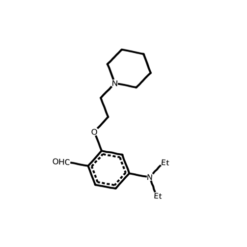 CCN(CC)c1ccc(C=O)c(OCCN2CCCCC2)c1